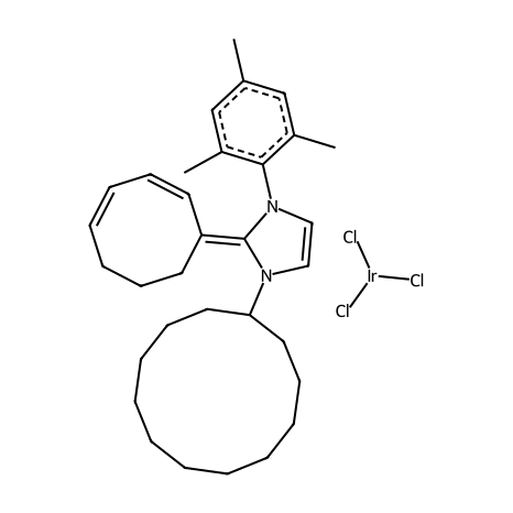 Cc1cc(C)c(N2C=CN(C3CCCCCCCCCCC3)C2=C2C=CC=CCCC2)c(C)c1.[Cl][Ir]([Cl])[Cl]